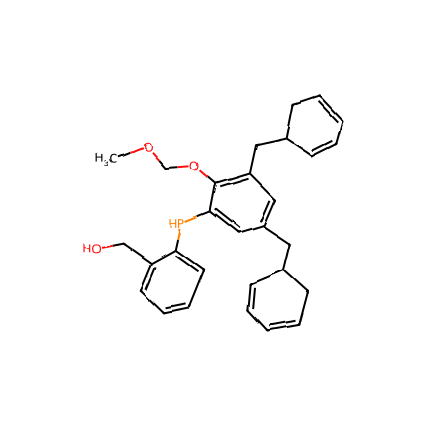 COCOc1c(CC2C=CC=CC2)cc(CC2C=CC=CC2)cc1Pc1ccccc1CO